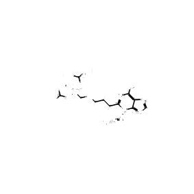 CC(C)OP(=O)(COCCCc1nc(Cl)c2ncnc-2n1N=[N+]=[N-])OC(C)C